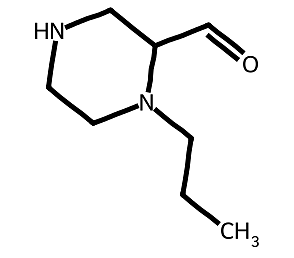 CCCN1CCNCC1C=O